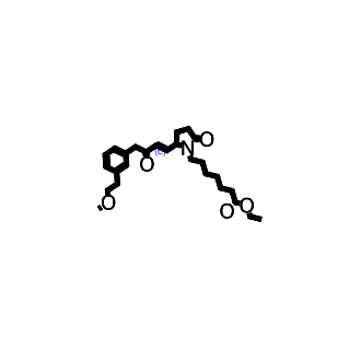 CCOC(=O)CCCCCCN1C(=O)CCC1/C=C/C(=O)Cc1cccc(CCOC)c1